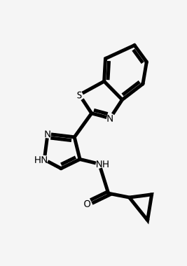 O=C(Nc1c[nH]nc1-c1nc2ccccc2s1)C1CC1